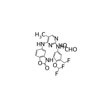 Cc1cnc(Nc2ccc(OC(F)F)c(CF)c2)nc1Nc1ccc2oc(=O)[nH]c2c1.O=CO